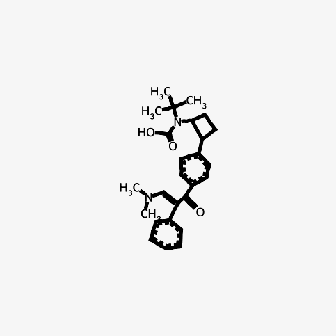 CN(C)C=C(C(=O)c1ccc(C2CCC2N(C(=O)O)C(C)(C)C)cc1)c1ccccc1